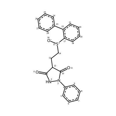 O=C1NN(c2ccccc2)C(=O)C1CC[S+]([O-])c1ccccc1-c1ccccc1